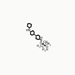 CC(C)(O)C(C)(C)OBc1ccc(-c2ccc(Nc3ccccc3)cc2)cc1